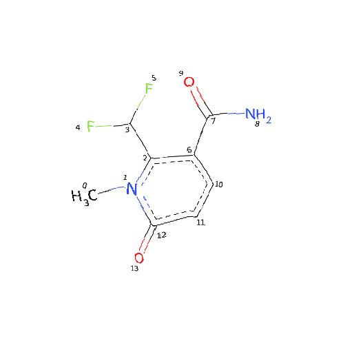 Cn1c(C(F)F)c(C(N)=O)ccc1=O